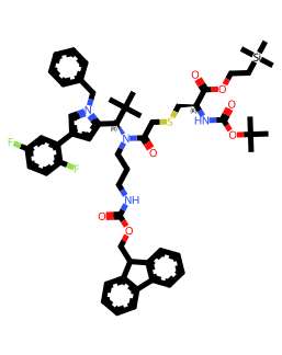 CC(C)(C)OC(=O)N[C@@H](CSCC(=O)N(CCCNC(=O)OCC1c2ccccc2-c2ccccc21)[C@@H](c1cc(-c2cc(F)ccc2F)cn1Cc1ccccc1)C(C)(C)C)C(=O)OCC[Si](C)(C)C